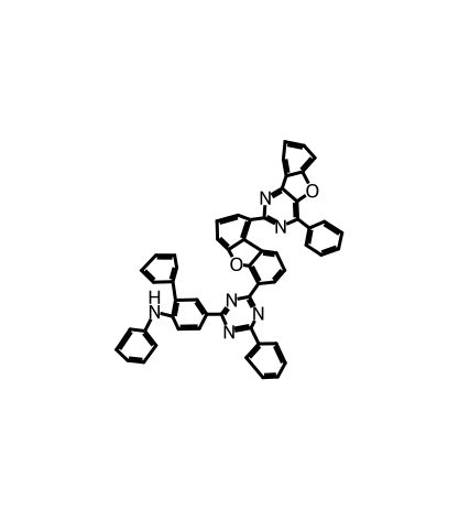 c1ccc(Nc2ccc(-c3nc(-c4ccccc4)nc(-c4cccc5c4oc4cccc(-c6nc(-c7ccccc7)c7oc8ccccc8c7n6)c45)n3)cc2-c2ccccc2)cc1